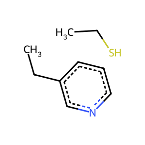 CCS.CCc1cccnc1